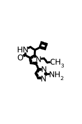 CCCn1c(-c2ccnc(N)n2)cc2c1C(C1=CC=C1)CNC2=O